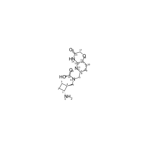 N[C@@H]1CC[C@H]1CN(Cc1ccc2c(n1)NC(=O)CO2)C(=O)O